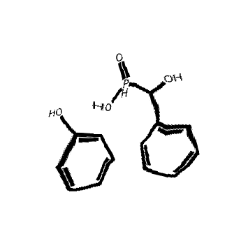 O=[PH](O)C(O)c1ccccc1.Oc1ccccc1